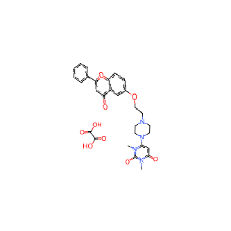 Cn1c(N2CCN(CCOc3ccc4oc(-c5ccccc5)cc(=O)c4c3)CC2)cc(=O)n(C)c1=O.O=C(O)C(=O)O